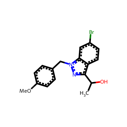 COc1ccc(Cn2nc(C(C)O)c3ccc(Br)cc32)cc1